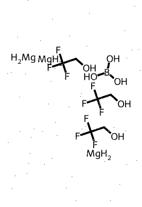 OB(O)O.OCC(F)(F)F.OCC(F)(F)F.OCC(F)(F)F.[MgH2].[MgH2].[MgH2]